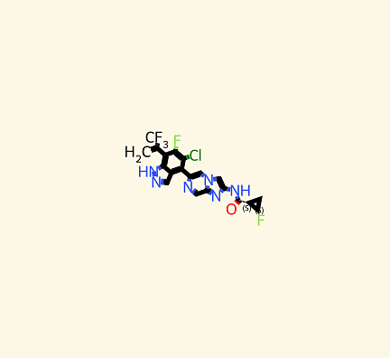 C=C(c1c(F)c(Cl)c(-c2cn3cc(NC(=O)[C@@H]4C[C@@H]4F)nc3cn2)c2cn[nH]c12)C(F)(F)F